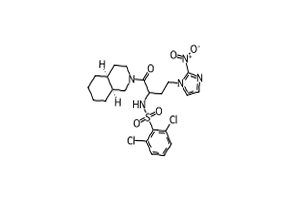 O=C(C(CCn1ccnc1[N+](=O)[O-])NS(=O)(=O)c1c(Cl)cccc1Cl)N1CC[C@@H]2CCCC[C@@H]2C1